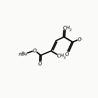 C=C(C=C(C)C(=O)OCCCC)C([O])=O